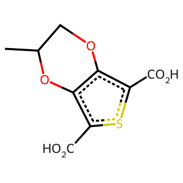 CC1COc2c(C(=O)O)sc(C(=O)O)c2O1